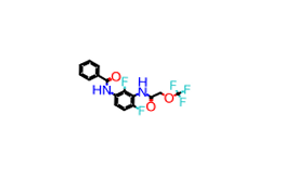 O=C(COC(F)(F)F)Nc1c(F)ccc(NC(=O)c2ccccc2)c1F